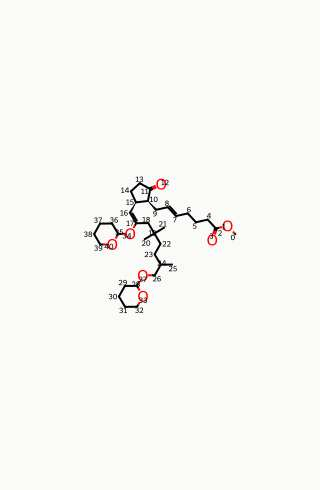 COC(=O)CCCC=CC[C@@H]1C(=O)CC[C@@H]1/C=C(\CC(C)(C)CCC(C)COC1CCCCO1)OC1CCCCO1